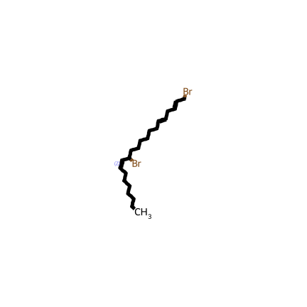 CCCCCCC/C=C\C(Br)CCCCCCC=CCC=CCBr